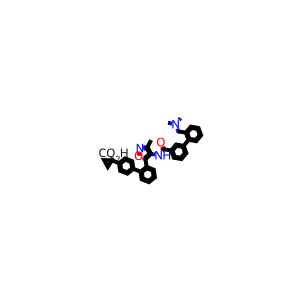 Cc1noc(-c2ccccc2-c2ccc(C3(C(=O)O)CC3)cc2)c1NC(=O)c1cccc(-c2ccccc2CN(C)C)c1